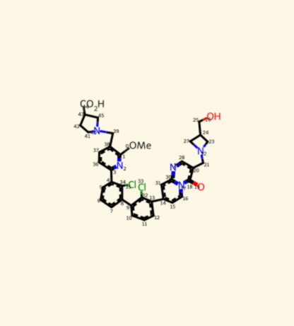 COc1nc(-c2cccc(-c3cccc(-c4ccn5c(=O)c(CN6CC(CO)C6)cnc5c4)c3Cl)c2Cl)ccc1CN1CCC(C(=O)O)C1